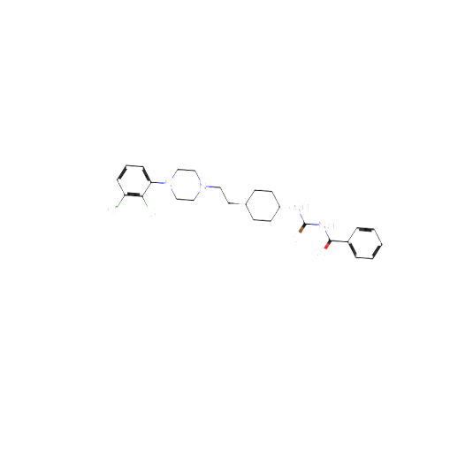 O=C(NC(=S)N[C@H]1CC[C@H](CCN2CCN(c3cccc(Cl)c3Cl)CC2)CC1)c1ccccc1